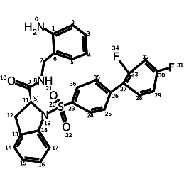 Nc1ccccc1CNC(=O)[C@@H]1Cc2ccccc2N1S(=O)(=O)c1ccc(-c2ccc(F)cc2F)cc1